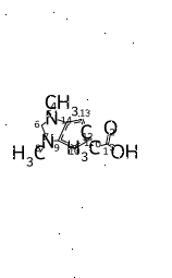 CC(=O)O.CN1CN(C)c2ccccc21